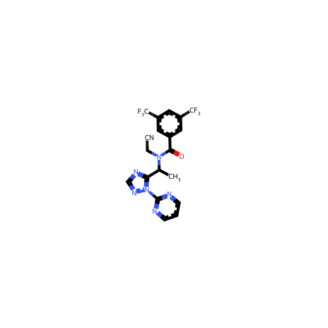 CC(c1ncnn1-c1ncccn1)N(CC#N)C(=O)c1cc(C(F)(F)F)cc(C(F)(F)F)c1